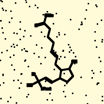 CCCCCC(O)(/C=C/C1CCC(O)C1C/C=C/CCCC(=O)OC)CC